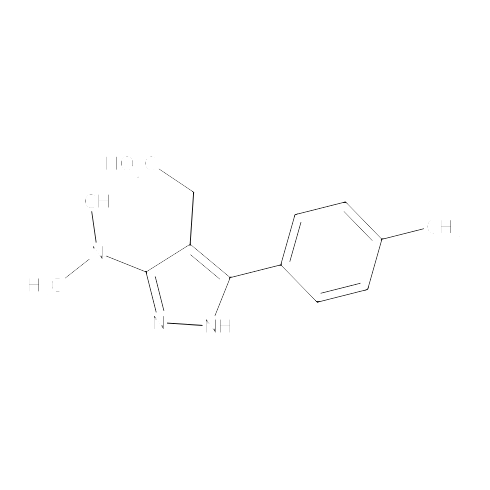 Cc1ccc(-c2[nH]nc(N(C)C)c2CC(=O)O)cc1